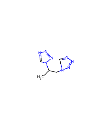 CC(Cn1cnnn1)n1cnnn1